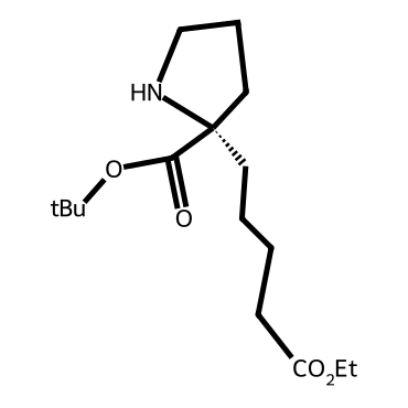 CCOC(=O)CCCC[C@@]1(C(=O)OC(C)(C)C)CCCN1